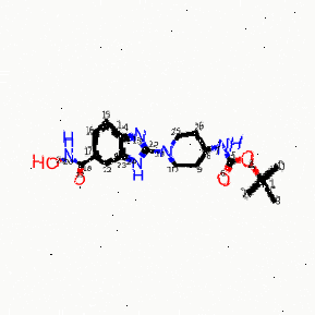 CC(C)(C)OC(=O)NC1CCN(c2nc3ccc(C(=O)NO)cc3[nH]2)CC1